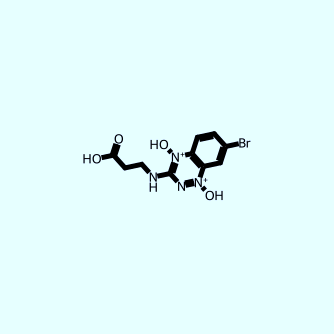 O=C(O)CCNc1n[n+](O)c2cc(Br)ccc2[n+]1O